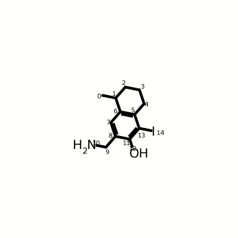 CC1CCCc2c1cc(CN)c(O)c2I